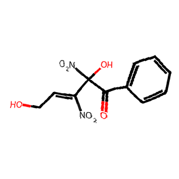 O=C(c1ccccc1)C(O)(C(=CCO)[N+](=O)[O-])[N+](=O)[O-]